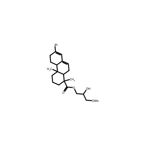 COCC(O)COC(=O)C1(C)CCCC2(C)C3CCC(C(C)C)=CC3=CCC12